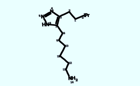 CC(C)CCc1nn[nH]c1CCCCCCN